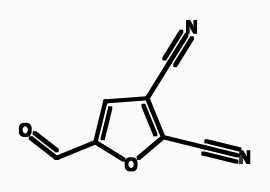 N#Cc1cc(C=O)oc1C#N